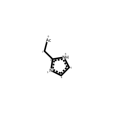 CC(=O)Cc1ncc[nH]1